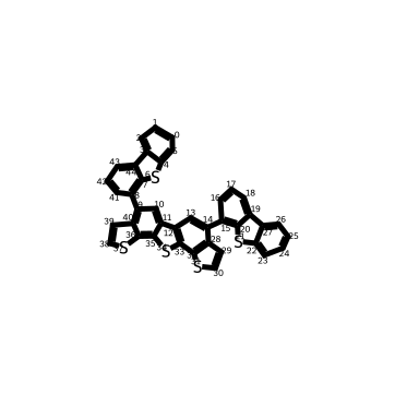 c1ccc2c(c1)sc1c(-c3cc4c5cc(-c6cccc7c6sc6ccccc67)c6ccsc6c5sc4c4sccc34)cccc12